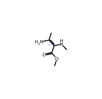 CN/C(C(=O)OC)=C(\C)N